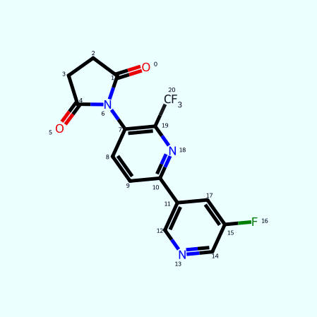 O=C1CCC(=O)N1c1ccc(-c2cncc(F)c2)nc1C(F)(F)F